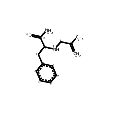 C=C(C)CNC(Cc1ccccc1)C(N)=O